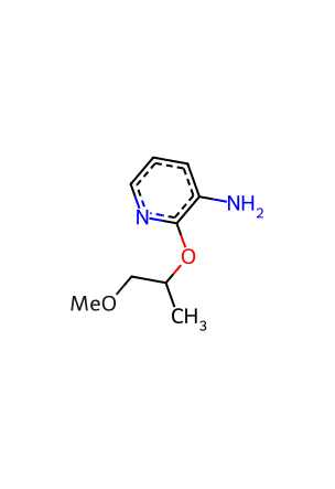 COCC(C)Oc1ncccc1N